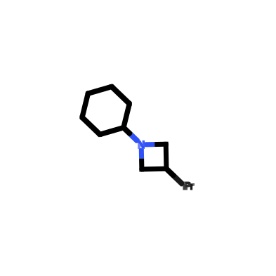 CC(C)C1CN(C2CCCCC2)C1